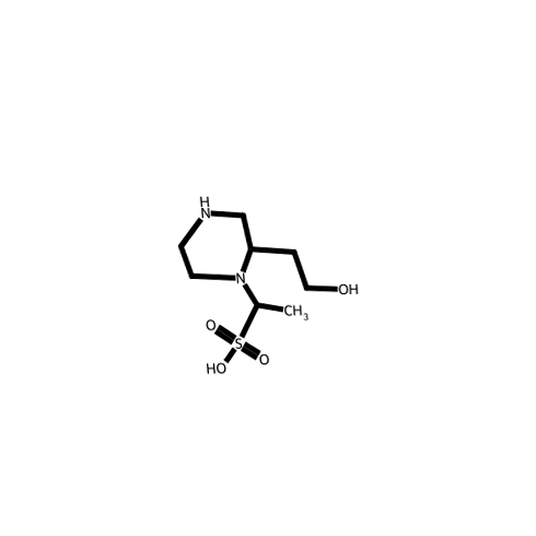 CC(N1CCNCC1CCO)S(=O)(=O)O